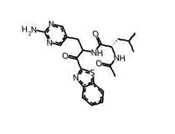 CC(=O)N[C@@H](CC(C)C)C(=O)NC(Cc1cnc(N)nc1)C(=O)c1nc2ccccc2s1